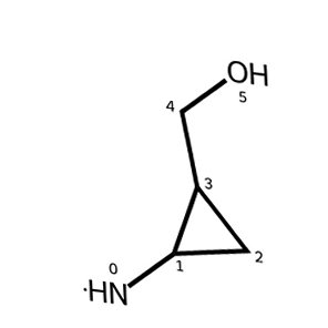 [NH]C1CC1CO